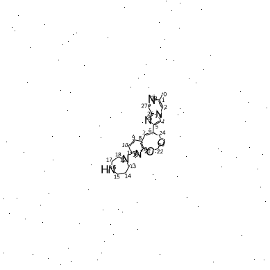 Cc1cn2cc(/C3=C/c4ccc(N5CCCNCC5)nc4OCOC3)nc2cn1